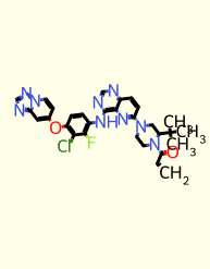 C=CC(=O)N1CCN(c2ccc3ncnc(Nc4ccc(Oc5ccn6ncnc6c5)c(Cl)c4F)c3n2)CC1C(C)(C)C